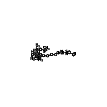 Cc1ncsc1-c1ccc([C@H](C)NC(=O)[C@@H]2C[C@@H](O)CN2C(=O)[C@@H](NC(=O)COCCOCCOCCOC2CCN(c3ccc(-c4nc5cc(-c6cccnc6)ccc5s4)cn3)C2)C(C)(C)C)cc1